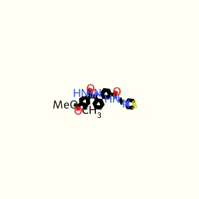 COC(=O)c1cc2c(cc1C)/C(=C(/Nc1ccc(C(=O)NCCN3CCSCC3)cc1)c1ccccc1)C(=O)N2